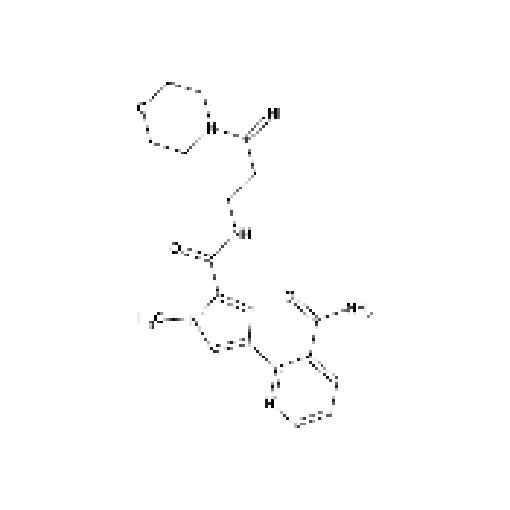 Cn1cc(-c2ncccc2C(N)=O)cc1C(=O)NCCC(=N)N1CCOCC1